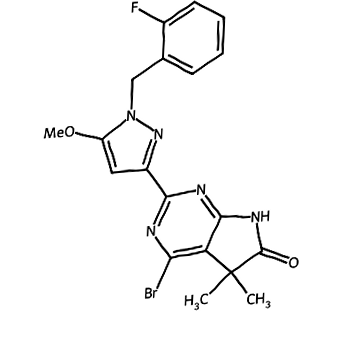 COc1cc(-c2nc(Br)c3c(n2)NC(=O)C3(C)C)nn1Cc1ccccc1F